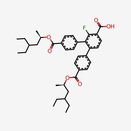 CCC(CC)C[C@@H](C)OC(=O)c1ccc(-c2ccc(C(=O)O)c(F)c2-c2ccc(C(=O)O[C@H](C)CC(CC)CC)cc2)cc1